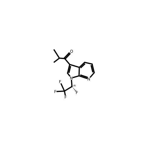 CC(C)C(=O)c1cn([C@H](F)C(F)(F)F)c2ncccc12